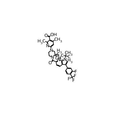 Cc1cc(N2CCN(C(=O)c3ccc4c(-c5ccc(C(F)(F)F)c(F)c5)cn(C(C)(C)C)c4n3)C(C)(C)C2)nc(C)c1C(=O)O